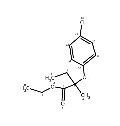 CCOC(=O)C(C)(CC)Oc1ccc(Cl)cc1